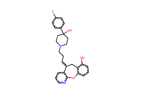 Oc1cccc2c1CC(=CCCN1CCC(O)(c3ccc(F)cc3)CC1)c1cccnc1O2